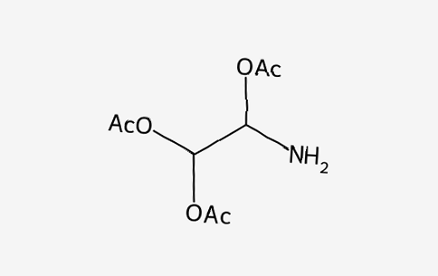 CC(=O)OC(N)C(OC(C)=O)OC(C)=O